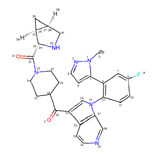 CC(C)n1nccc1-c1cc(F)ccc1-n1cc(C(=O)C2CCN(C(=O)[C@H]3NC[C@@H]4C[C@@H]43)CC2)c2ccncc21